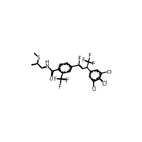 CSC(C)CNC(=O)c1ccc(C(F)=CC(c2cc(Cl)c(Cl)c(Cl)c2)C(F)(F)F)cc1C(F)(F)F